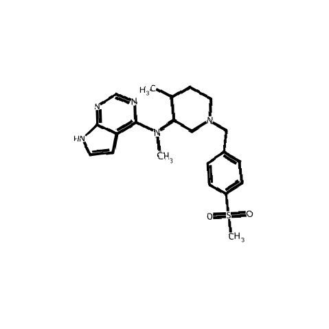 CC1CCN(Cc2ccc(S(C)(=O)=O)cc2)CC1N(C)c1ncnc2[nH]ccc12